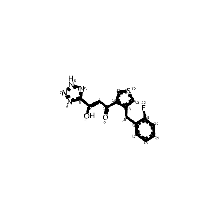 O=C(C=C(O)c1nn[nH]n1)c1cscc1Cc1ccccc1F